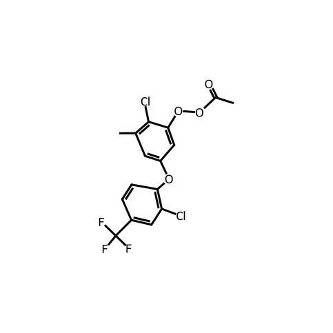 CC(=O)OOc1cc(Oc2ccc(C(F)(F)F)cc2Cl)cc(C)c1Cl